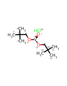 CC(C)(C)C[O][V](=[O])[O]CC(C)(C)C.Cl